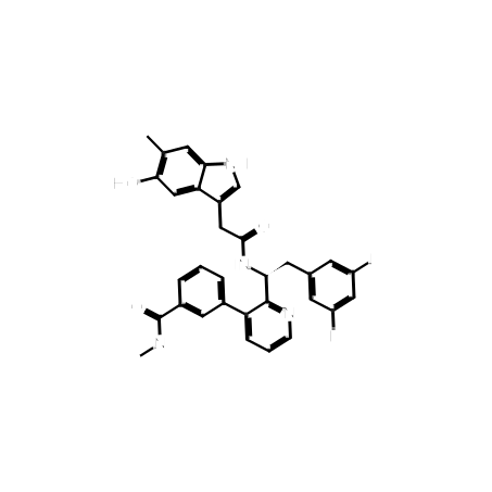 CNC(=O)c1cccc(-c2cccnc2[C@H](Cc2cc(F)cc(F)c2)NC(=O)Cc2c[nH]c3cc(C)c(O)cc23)c1